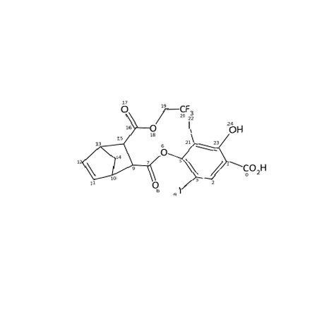 O=C(O)c1cc(I)c(OC(=O)C2C3C=CC(C3)C2C(=O)OCC(F)(F)F)c(I)c1O